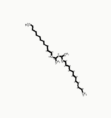 CCCCCCCCCCCCOC(C)SC(C)OCCCCCCCCCCCC